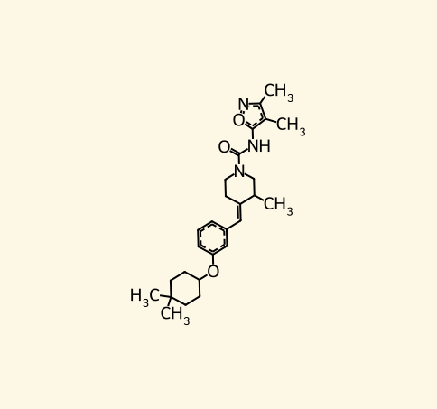 Cc1noc(NC(=O)N2CC/C(=C\c3cccc(OC4CCC(C)(C)CC4)c3)C(C)C2)c1C